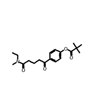 CCN(C)C(=O)CCCC(=O)c1ccc(OC(=O)C(C)(C)C)cc1